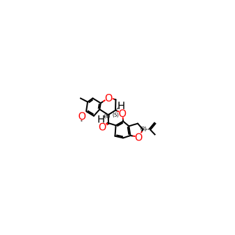 C=C(C)[C@H]1Cc2c(ccc3c2O[C@@H]2COc4cc(C)c(OC)cc4[C@@H]2C3=O)O1